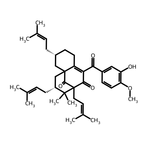 COc1ccc(C(=O)C2=C3CC[C@@H](CC=C(C)C)CC34C[C@@H](CC=C(C)C)C(C)(C)C(CC=C(C)C)(C2=O)C4=O)cc1O